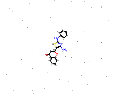 Nc1nc(Nc2ccccc2)sc1-c1cc(=O)c2ccccc2o1